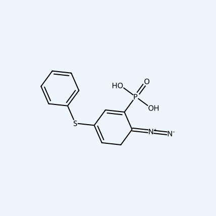 [N-]=[N+]=C1CC=C(Sc2ccccc2)C=C1P(=O)(O)O